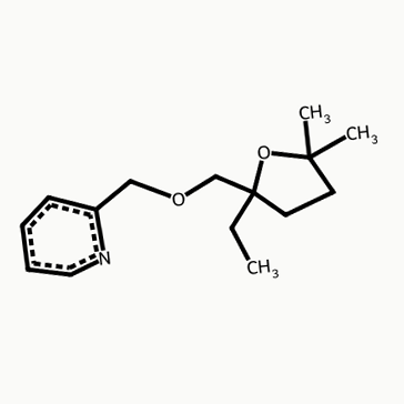 CCC1(COCc2ccccn2)CCC(C)(C)O1